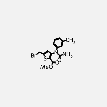 COC(=O)c1sc(CBr)cc1N(C(N)=O)c1cccc(C)c1